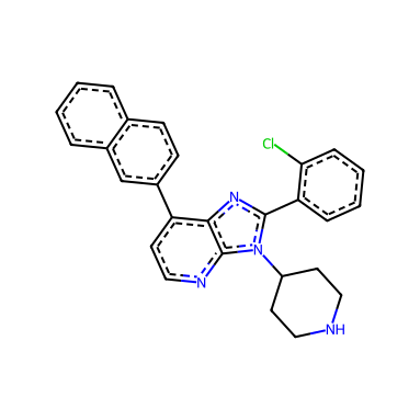 Clc1ccccc1-c1nc2c(-c3ccc4ccccc4c3)ccnc2n1C1CCNCC1